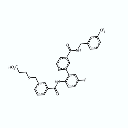 O=C(O)CCSCc1cccc(C(=O)Nc2ccc(F)cc2-c2cc(C(=O)NCc3cccc(C(F)(F)F)c3)ccn2)c1